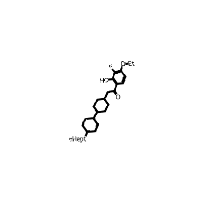 CCCCCCCC1CCC(C2CCC(CC(=O)c3ccc(OCC)c(F)c3O)CC2)CC1